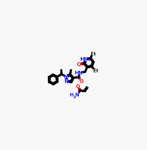 C=CC(N)=O.CCc1cc(CC)c(CNC(=O)c2cnn(C(C)c3ccccc3)c2C)c(=O)[nH]1